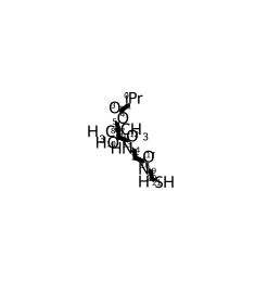 CC(C)CC(=O)OCC(C)(C)[C@@H](O)C(=O)NCCC(=O)NCCS